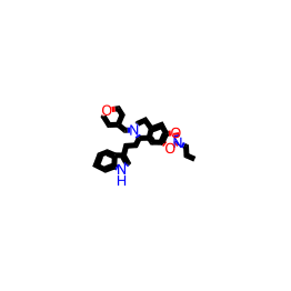 CCCN1Oc2cc3c(cc2O1)C(CCc1c[nH]c2ccccc12)N(CC1CCOCC1)CC3